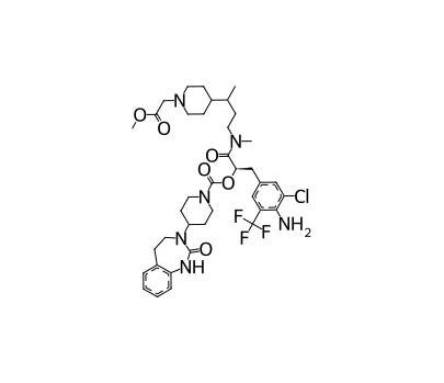 COC(=O)CN1CCC(C(C)CCN(C)C(=O)[C@@H](Cc2cc(Cl)c(N)c(C(F)(F)F)c2)OC(=O)N2CCC(N3CCc4ccccc4NC3=O)CC2)CC1